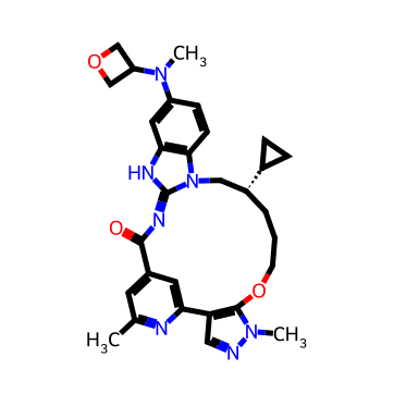 Cc1cc2cc(n1)-c1cnn(C)c1OCCC[C@@H](C1CC1)CN1/C(=N/C2=O)Nc2cc(N(C)C3COC3)ccc21